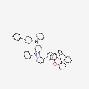 c1ccc(-c2ccc(N(c3ccccc3)c3ccc4c5c(-c6ccc(-c7cccc8c7C7(c9ccccc9Oc9ccccc97)c7ccccc7-8)cc6)cccc5n(-c5ccccc5)c4c3)cc2)cc1